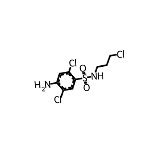 Nc1cc(Cl)c(S(=O)(=O)NCCCCl)cc1Cl